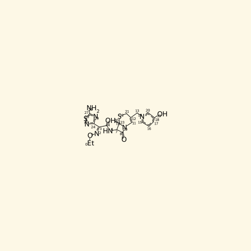 CCON=C(C(=O)NC1C(=O)N2C=C(C[n+]3cccc(O)c3)CS[C@@H]12)c1nsc(N)n1